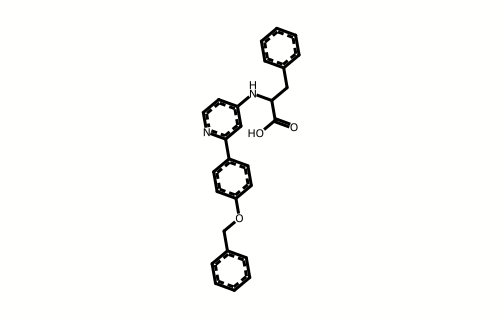 O=C(O)C(Cc1ccccc1)Nc1ccnc(-c2ccc(OCc3ccccc3)cc2)c1